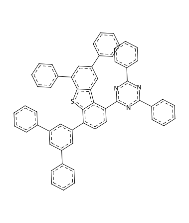 c1ccc(-c2cc(-c3ccccc3)cc(-c3ccc(-c4nc(-c5ccccc5)nc(-c5ccccc5)n4)c4c3sc3c(-c5ccccc5)cc(-c5ccccc5)cc34)c2)cc1